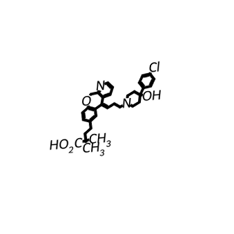 CC(C)(CCc1ccc2c(c1)/C(=C/CCN1CCC(O)(c3ccc(Cl)cc3)CC1)c1cccnc1CO2)C(=O)O